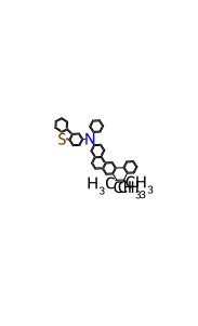 CC1(C)c2ccccc2-c2cc3c(ccc4cc(N(c5ccccc5)c5ccc6sc7ccccc7c6c5)ccc43)cc2C1(C)C